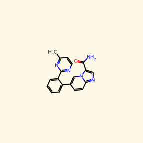 Cc1ccnc(-c2ccccc2-c2ccc3ncc(C(N)=O)n3c2)n1